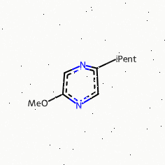 CCCC(C)c1cnc(OC)cn1